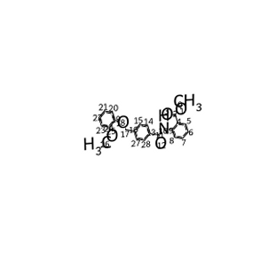 COC(=O)c1ccccc1NC(=O)c1ccc(COc2ccccc2OC)cc1